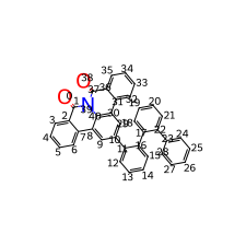 O=c1c2ccccc2c2cc(-c3ccccc3-c3ccccc3-c3ccccc3)cc3c4ccccc4c(=O)n1c23